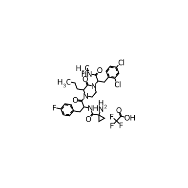 CCCC1C(=O)N(C(Cc2ccc(Cl)cc2Cl)C(=O)NC)CCN1C(=O)C(Cc1ccc(F)cc1)NC(=O)C1(N)CC1.O=C(O)C(F)(F)F